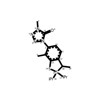 Cc1c(-n2nnn(C)c2=O)ccc2c1SS(C(C)C)(C(C)C)C2C